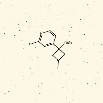 COC1(c2ccnc(F)c2)CC(C)C1